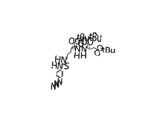 CC(C)(C)OC(=O)CC[C@H](NC(=O)N[C@@H](CCCCNC(=S)Nc1ccc(N=[N+]=[N-])cc1)C(=O)OC(C)(C)C)C(=O)OC(C)(C)C